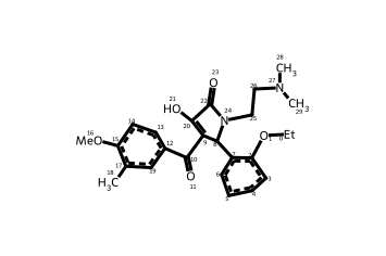 CCOc1ccccc1C1C(C(=O)c2ccc(OC)c(C)c2)=C(O)C(=O)N1CCN(C)C